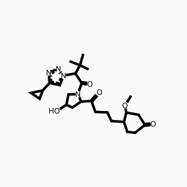 COC1CC(=O)CCC1CCCC(=O)C1CC(O)CN1C(=O)C(n1cc(C2CC2)nn1)C(C)(C)C